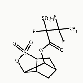 O=C(OC1C2CC3C1OS(=O)(=O)C3C2)C(F)(C(F)(F)C(F)(F)F)S(=O)(=O)O